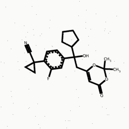 CC1(C)OC(=O)C=C(CC(O)(c2ccc(C3(C#N)CC3)c(F)c2)C2CCCC2)O1